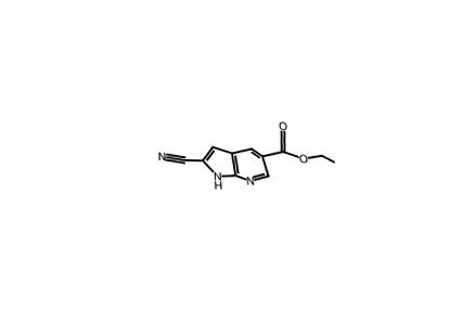 CCOC(=O)c1cnc2[nH]c(C#N)cc2c1